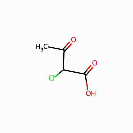 CC(=O)C(Cl)C(=O)O